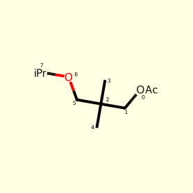 CC(=O)OCC(C)(C)COC(C)C